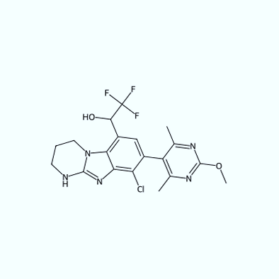 COc1nc(C)c(-c2cc(C(O)C(F)(F)F)c3c(nc4n3CCCN4)c2Cl)c(C)n1